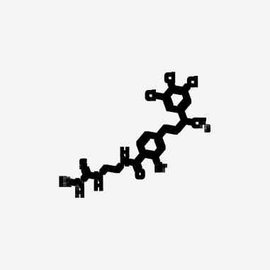 CCNC(=S)NCCNC(=O)c1ccc(/C=C/C(c2cc(Cl)c(Cl)c(Cl)c2)C(F)(F)F)cc1Br